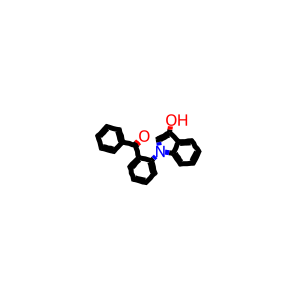 O=C(c1ccccc1)c1ccccc1-n1cc(O)c2ccccc21